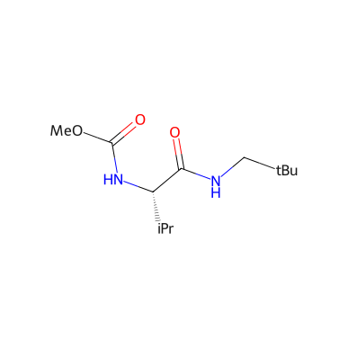 COC(=O)N[C@H](C(=O)NCC(C)(C)C)C(C)C